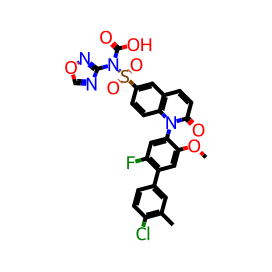 COc1cc(-c2ccc(Cl)c(C)c2)c(F)cc1-n1c(=O)ccc2cc(S(=O)(=O)N(C(=O)O)c3ncon3)ccc21